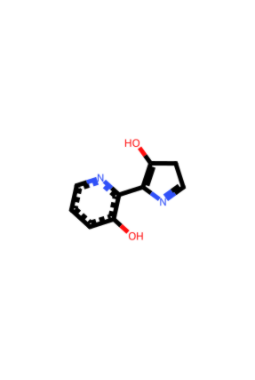 OC1=C(c2ncccc2O)N=CC1